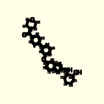 O=C(c1ccc(-c2cc(Oc3ccc4nc(N[C@@H]5CCCC[C@H]5O)sc4c3)ccn2)cc1)N1CCOCC1